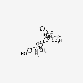 CC(C)C[C@H](NC(=O)[C@H](Cc1ccccc1)NC(=O)CNC(=O)CN(C)C(=O)[C@@H](N)Cc1ccc(O)cc1)C(=O)O